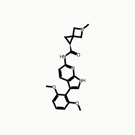 COc1cccc(OC)c1-c1c[nH]c2nc(NC(=O)[C@H]3CC34CN(C)C4)ccc12